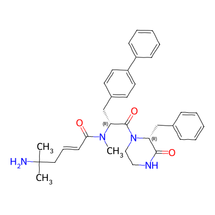 CN(C(=O)C=CCC(C)(C)N)[C@H](Cc1ccc(-c2ccccc2)cc1)C(=O)N1CCNC(=O)[C@H]1Cc1ccccc1